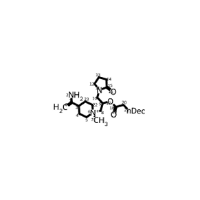 C=C(N)C1CC[N+](C)(CC(CN2CCCC2=O)OC(=O)CCCCCCCCCCC)CC1